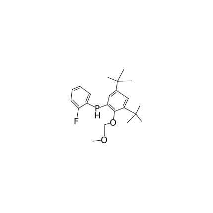 COCOc1c(Pc2ccccc2F)cc(C(C)(C)C)cc1C(C)(C)C